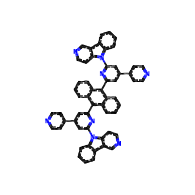 c1ccc2c(-c3cc(-c4ccncc4)cc(-n4c5ccccc5c5cnccc54)n3)c3ccccc3c(-c3cc(-c4ccncc4)cc(-n4c5ccccc5c5cnccc54)n3)c2c1